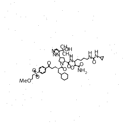 COCCS(=O)(=O)c1ccc(C(=O)CC[C@H](CC2CCCCC2)C(=O)N2C[C@@H](n3nncc3C(C)(C)O)C[C@H]2C(=O)NC(CCCCNC(=O)NC2CC2)C(=O)C(N)=O)cc1